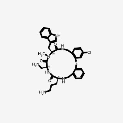 CN1C(=O)[C@H](CN)NC(=O)[C@H](CCCN)NCc2ccccc2Sc2cc(Cl)ccc2CNC(=O)[C@@H]1Cc1c[nH]c2ccccc12